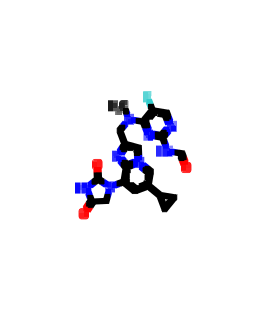 CN(Cc1cn2cc(C3CC3)cc(N3CC(=O)NC3=O)c2n1)c1nc(NC=O)ncc1F